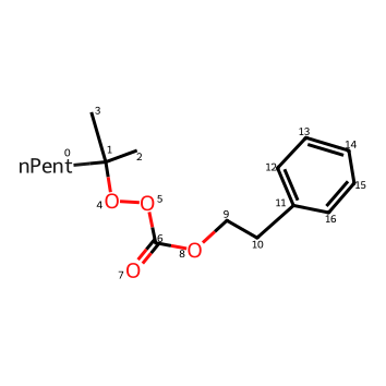 CCCCCC(C)(C)OOC(=O)OCCc1ccccc1